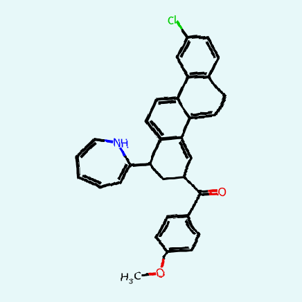 COc1ccc(C(=O)C2C=c3c(ccc4c3=CCc3ccc(Cl)cc3-4)C(C3=CC=CC=CN3)C2)cc1